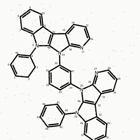 C1=CCCC(n2c3ccccc3c3c4cccnc4n(-c4cccc(-n5c6ncccc6c6c7ccccc7n(-c7ccccc7)c65)c4)c32)=C1